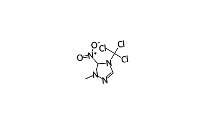 CN1N=CN(C(Cl)(Cl)Cl)C1[N+](=O)[O-]